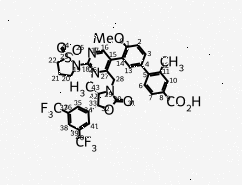 COc1ccc(-c2ccc(C(=O)O)cc2C)cc1-c1cnc(N2CCCS2(=O)=O)nc1CN1C(=O)O[C@H](c2cc(C(F)(F)F)cc(C(F)(F)F)c2)[C@@H]1C